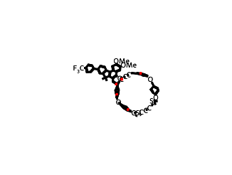 COc1cc2c3c(c4c(c2cc1OC)-c1ccc(-c2ccc(C(F)(F)F)cc2)cc1C4(C)C)C=CC1(CCCCc2ccc(cc2)Oc2ccc(cc2)O[Si](C)(C)CCCC[Si](C)(C)Oc2ccc(cc2)Oc2ccc1cc2)O3